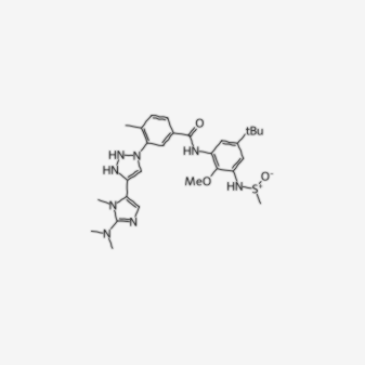 COc1c(NC(=O)c2ccc(C)c(N3C=C(c4cnc(N(C)C)n4C)NN3)c2)cc(C(C)(C)C)cc1N[S+](C)[O-]